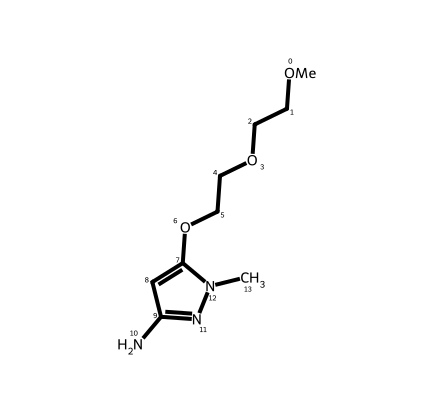 COCCOCCOc1cc(N)nn1C